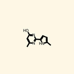 Cc1cc(O)nc(-c2ccc(C)[nH]2)n1